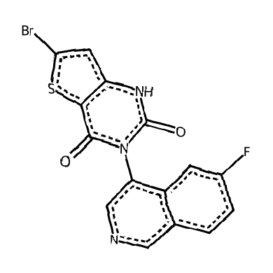 O=c1[nH]c2cc(Br)sc2c(=O)n1-c1cncc2ccc(F)cc12